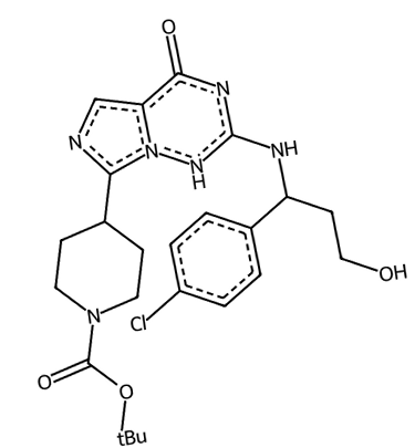 CC(C)(C)OC(=O)N1CCC(c2ncc3c(=O)nc(NC(CCO)c4ccc(Cl)cc4)[nH]n23)CC1